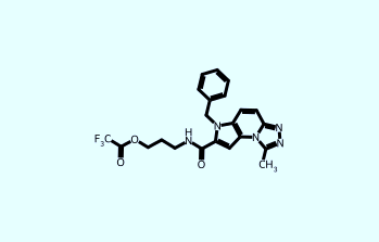 Cc1nnc2ccc3c(cc(C(=O)NCCCOC(=O)C(F)(F)F)n3Cc3ccccc3)n12